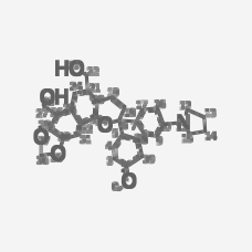 COc1ccc(C2(c3ccc(N4CCCC4)cc3)C=Cc3c(CO)cc4c(CO)c5c(cc4c3O2)OCO5)cc1